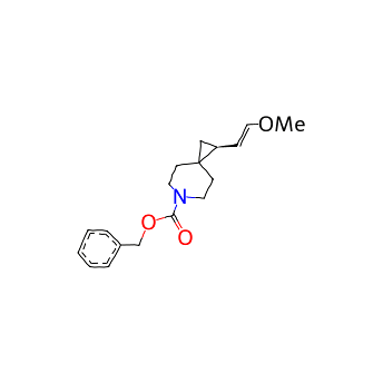 COC=C[C@@H]1CC12CCN(C(=O)OCc1ccccc1)CC2